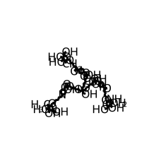 CC1C(OCCCCCN2CCC(OP(=O)(O)OCCCOCC(CO)(CCCCCOP(=O)(O)OC3CCN(C(=O)CCCCOC4OC(CO)C(O)C(O)C4C)CC3)COCCCOP(=O)(O)OC3CCN(C(=O)CCCCOC4OC(CO)C(O)C(O)C4N)CC3)CC2)OC(CO)C(O)C1O